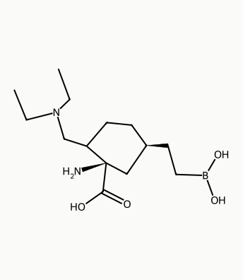 CCN(CC)CC1CC[C@@H](CCB(O)O)C[C@]1(N)C(=O)O